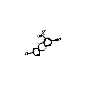 N#Cc1ccc(Sc2cc(Cl)ccc2Cl)c([N+](=O)[O-])c1